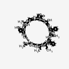 CCCCC[C@H]1C(=O)N(C)[C@@H](CCCC)C(=O)N[C@@H](C)C(=O)N[C@H](C(=O)NCC(N)=O)CSCC(=O)N[C@@H](Cc2ccc(O)cc2)C(=O)N(C)[C@@H](C)C(=O)N[C@@H](CC(N)=O)C(=O)N2CCC[C@H]2C(=O)N[C@@H](Cc2cnc[nH]2)C(=O)N[C@@H](CCC(=O)O)C(=O)N2C[C@H](O)C[C@H]2C(=O)N[C@@H](Cc2c[nH]c3ccccc23)C(=O)N[C@@H](CCN)C(=O)N[C@@H](Cc2c[nH]c3ccccc23)C(=O)N1C